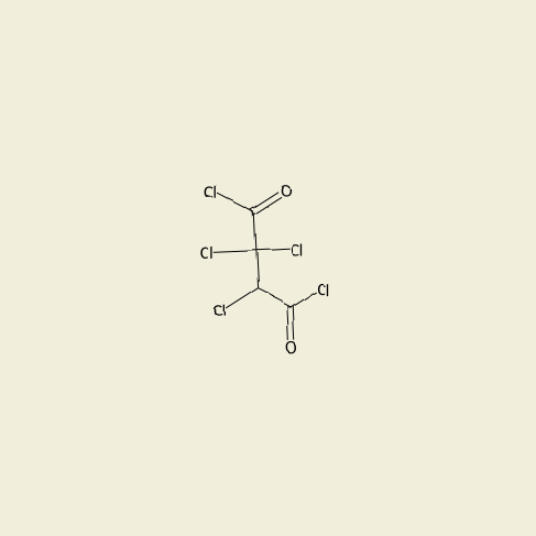 O=C(Cl)C(Cl)C(Cl)(Cl)C(=O)Cl